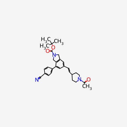 CC(=O)N1CCC(C=Cc2cc3c(c(-c4ccc(C#N)cc4)c2)CN(C(=O)OC(C)(C)C)C3)CC1